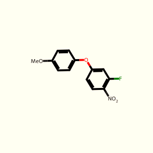 COc1ccc(Oc2ccc([N+](=O)[O-])c(F)c2)cc1